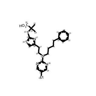 CCc1cnc(N(CCCCc2ccccc2)CCc2csc(SC(C)(C)C(=O)O)n2)nc1